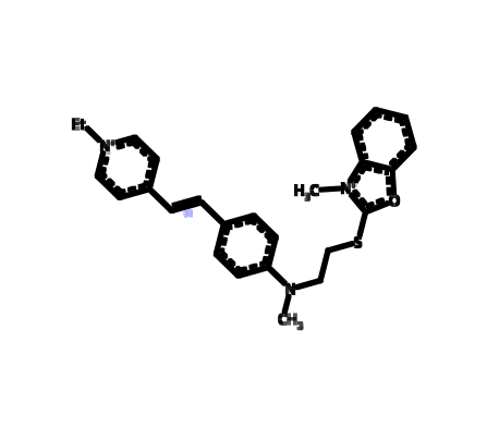 CC[n+]1ccc(/C=C/c2ccc(N(C)CCSc3oc4ccccc4[n+]3C)cc2)cc1